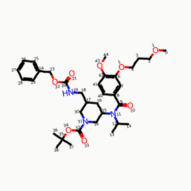 COCCCOc1cc(C(=O)N(C(C)C)C2CC(CNC(=O)OCc3ccccc3)CN(C(=O)OC(C)(C)C)C2)ccc1OC